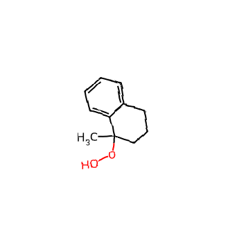 CC1(OO)CCCc2ccccc21